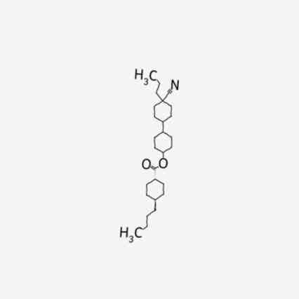 CCCC[C@H]1CC[C@H](C(=O)OC2CCC(C3CCC(C#N)(CCC)CC3)CC2)CC1